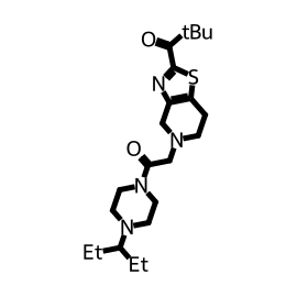 CCC(CC)N1CCN(C(=O)CN2CCc3sc(C(=O)C(C)(C)C)nc3C2)CC1